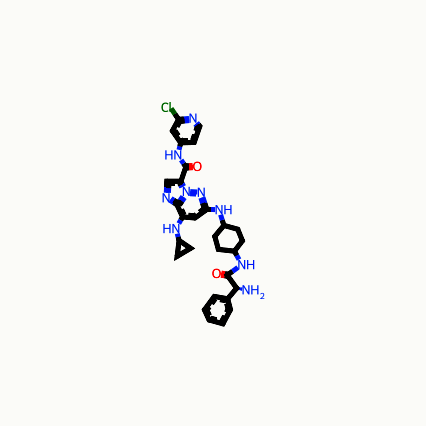 N[C@H](C(=O)NC1CCC(Nc2cc(NC3CC3)c3ncc(C(=O)Nc4ccnc(Cl)c4)n3n2)CC1)c1ccccc1